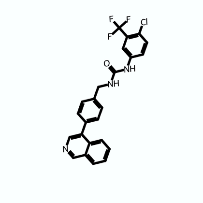 O=C(NCc1ccc(-c2cncc3ccccc23)cc1)Nc1ccc(Cl)c(C(F)(F)F)c1